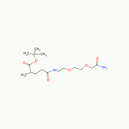 CC(CCC(=O)NCCOCCOCC(N)=O)C(=O)OC(C)(C)C